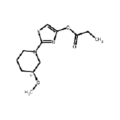 CCC(=O)Oc1csc(N2CCC[C@H](OC)C2)n1